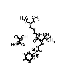 CCN(CC)CCCNC(=O)N(CCCS(=O)(=O)c1ccccc1)C(C)C.O=C(O)C(=O)O